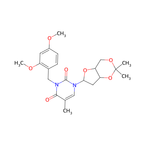 COc1ccc(Cn2c(=O)c(C)cn(C3CC4OC(C)(C)OCC4O3)c2=O)c(OC)c1